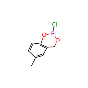 Cc1ccc2c(c1)COP(Cl)O2